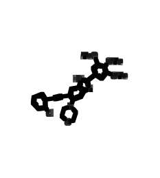 COc1cc(-c2nc3cc(N4CCOCC4)c(C#Cc4ccccc4Cl)cc3[nH]2)cc(OC)c1OC